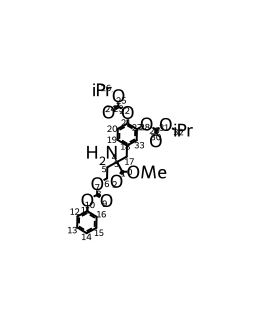 COC(=O)[C@@](N)(CCOC(=O)Oc1ccccc1)Cc1ccc(OC(=O)OC(C)C)c(OC(=O)OC(C)C)c1